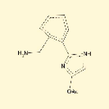 CC(=O)Oc1c[nH]c(-c2ccccc2CN)n1